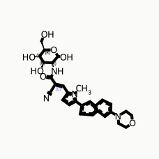 Cn1c(/C=C(\C#N)C(=O)N[C@H]2C(O)O[C@H](CO)[C@@H](O)[C@@H]2O)ccc1-c1ccc2cc(N3CCOCC3)ccc2c1